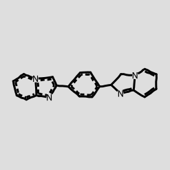 C1=CC2=NC(c3ccc(-c4cn5ccccc5n4)cc3)CN2C=C1